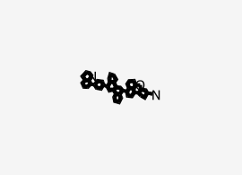 N#Cc1ccc2c(c1)Oc1cccc3c(-c4cc5c6ccccc6c(-c6ccc(-c7cccc8cccnc78)cc6)cc5c5ccccc45)ccc-2c13